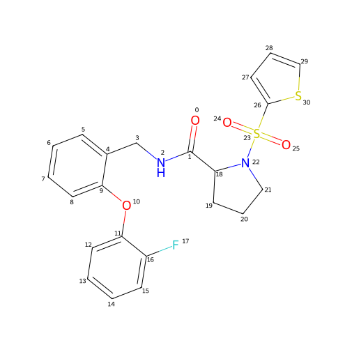 O=C(NCc1ccccc1Oc1ccccc1F)C1CCCN1S(=O)(=O)c1cccs1